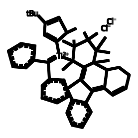 CC1C=C(C(C)(C)C)C=[C]1[Ti+2](=[C](c1ccccc1)c1ccccc1)[C]1(C)C2=C3Cc4ccccc4C3=C3C=CCCC3C2(C)C(C)(C)C(C)(C)C1(C)C.[Cl-].[Cl-]